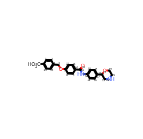 O=C(O)c1ccc(COc2ccc(C(=O)Nc3ccc(C4CNCCO4)cc3)cc2)cc1